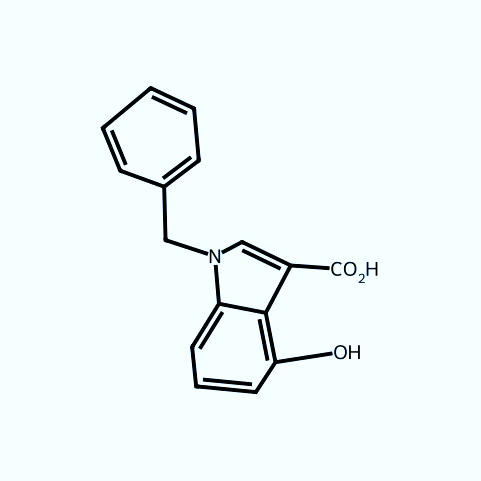 O=C(O)c1cn(Cc2ccccc2)c2cccc(O)c12